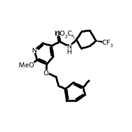 COc1ncc(C(=O)N[C@]2(C(=O)O)CC[C@H](C(F)(F)F)CC2)cc1OCCc1cccc(C)c1